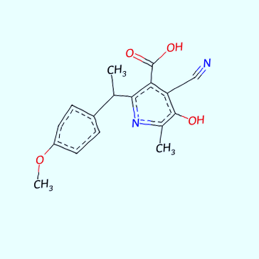 COc1ccc(C(C)c2nc(C)c(O)c(C#N)c2C(=O)O)cc1